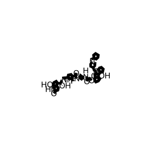 O=C(COc1cccc(C(O)(C(=O)OCC2CCN(Cc3ccccc3)CC2)c2ccccc2)c1)NC1CC(NC(=O)c2ccc(CNC[C@H](O)c3ccc(O)c4[nH]c(=O)ccc34)cc2F)C1